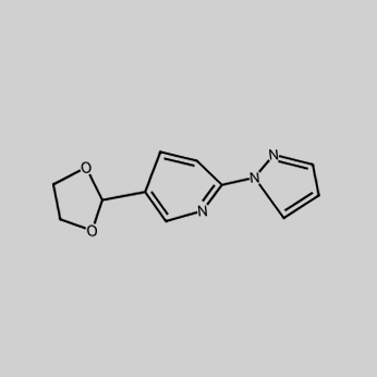 c1cnn(-c2ccc(C3OCCO3)cn2)c1